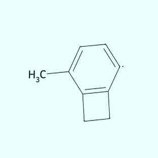 Cc1cc[c]c2c1CC2